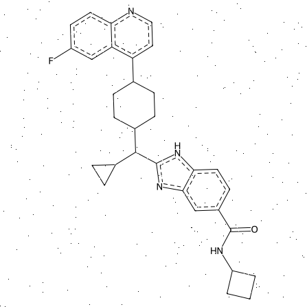 O=C(NC1CCC1)c1ccc2[nH]c(C(C3CCC(c4ccnc5ccc(F)cc45)CC3)C3CC3)nc2c1